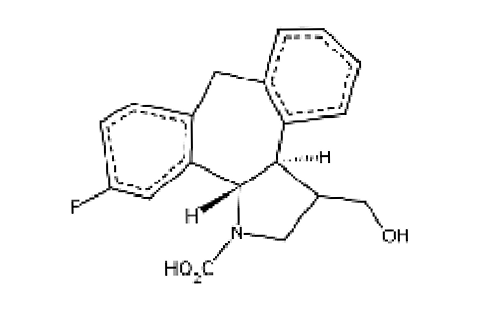 O=C(O)N1CC(CO)[C@@H]2c3ccccc3Cc3ccc(F)cc3[C@H]21